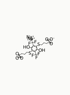 O=S(=O)([O-])CCCSc1c(O)c(C(F)(F)F)c(SCCCS(=O)(=O)[O-])c(O)c1C(F)(F)F.[Na+].[Na+]